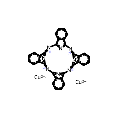 [Cu+2].[Cu+2].c1ccc2c3[n-]c(c2c1)/N=c1\[n-]/c(c2ccccc12)=N\c1[n-]c(c2ccccc12)/N=c1\[n-]/c(c2ccccc12)=N\3